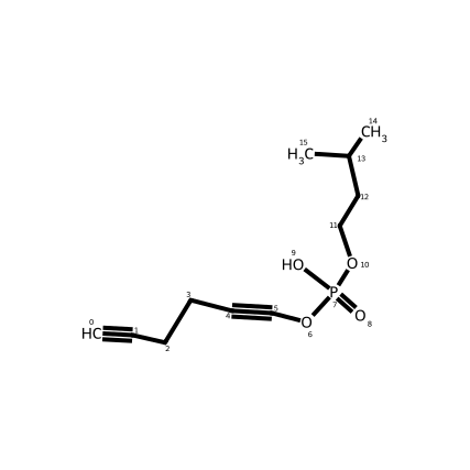 C#CCCC#COP(=O)(O)OCCC(C)C